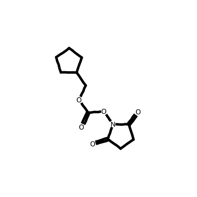 O=C(OCC1CCCC1)ON1C(=O)CCC1=O